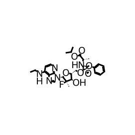 CCNc1ccnc2c1ncn2[C@@H]1O[C@H](CO[P@](=O)(N[C@@H](C)C(=O)OC(C)C)Oc2ccccc2)[C@@H](O)[C@@]1(C)F